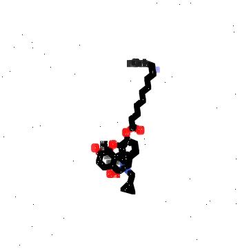 CCCCCCCC/C=C\CCCCCCCC(=O)Oc1ccc2c3c1O[C@H]1C(=O)CC[C@@]4(O)C(C2)N(CC2CC2)CC[C@]314